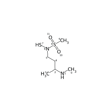 CNC(C)CCN(S)S(C)(=O)=O